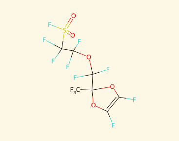 O=S(=O)(F)C(F)(F)C(F)(F)OC(F)(F)C1(C(F)(F)F)OC(F)=C(F)O1